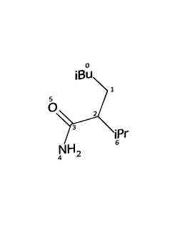 CCC(C)CC(C(N)=O)C(C)C